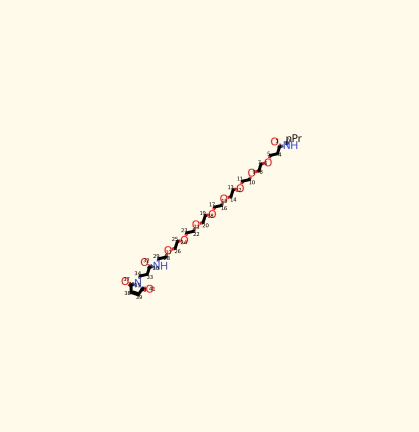 CCCNC(=O)CCOCCOCCOCCOCCOCCOCCOCCOCCNC(=O)CCN1C(=O)C=CC1=O